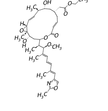 CCOC(=O)C[C@@H]1C/C=C/C(=O)OC([C@H](C)[C@@H](OC)/C(C)=C/C=C/C(C)=C/c2coc(C)n2)C[C@H](O)[C@]2(C)O[C@@H]2/C=C/[C@@H](C)[C@H](O)C1